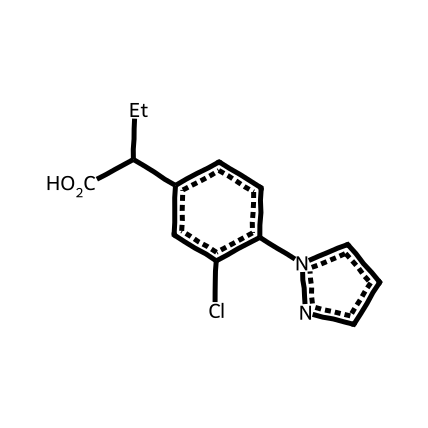 CCC(C(=O)O)c1ccc(-n2cccn2)c(Cl)c1